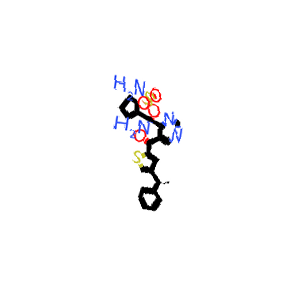 C[C@H](c1ccccc1)c1csc(C(=O)c2cncnc2C(N)(OS(N)(=O)=O)C2CCCC2)c1